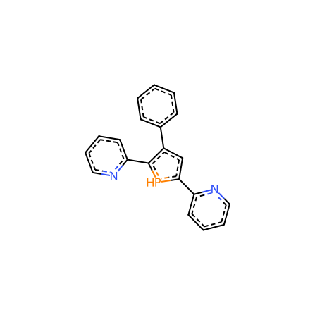 c1ccc(-c2cc(-c3ccccn3)[pH]c2-c2ccccn2)cc1